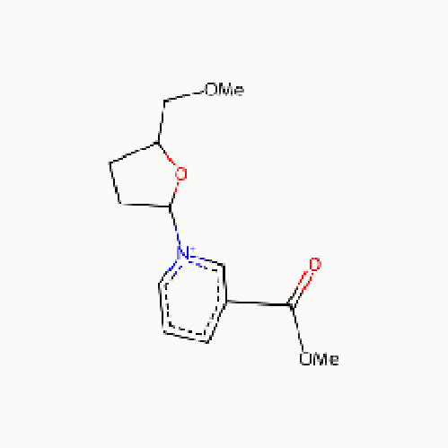 COCC1CCC([n+]2cccc(C(=O)OC)c2)O1